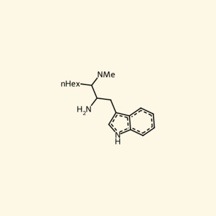 CCCCCCC(NC)C(N)Cc1c[nH]c2ccccc12